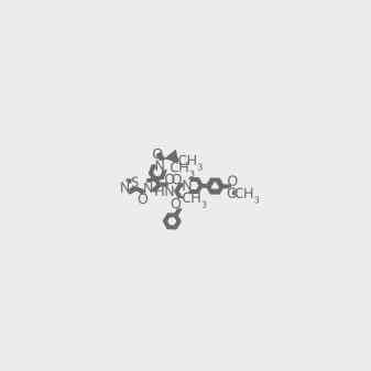 COC(=O)c1ccc(C2CCN(C(=O)[C@@H](NC(=O)C3CN(C(=O)c4cncs4)CC34CCN(C(=O)[C@H]3CC3(C)C)CC4)[C@@H](C)OCC3CCCCC3)CC2)cc1